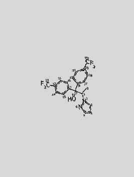 CC(n1cccn1)C(O)(c1ccc(C(F)(F)F)cc1)c1ccc(C(F)(F)F)cc1